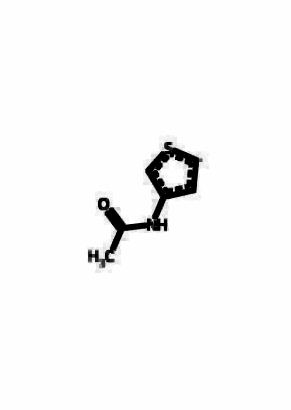 CC(=O)Nc1c[c]sc1